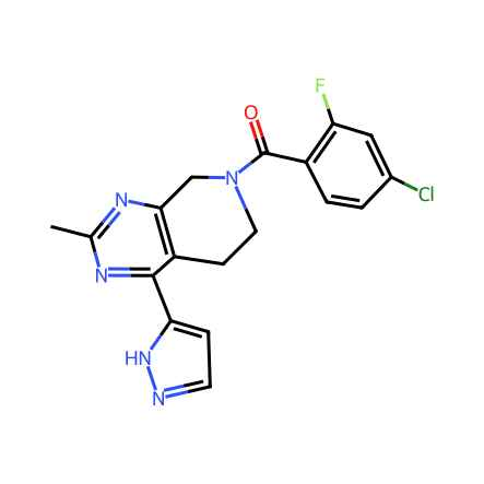 Cc1nc2c(c(-c3ccn[nH]3)n1)CCN(C(=O)c1ccc(Cl)cc1F)C2